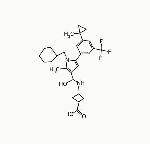 Cc1c(C(O)N[C@H]2C[C@H](C(=O)O)C2)cc(-c2cc(C(F)(F)F)cc(C3(C)CC3)c2)n1CC1CCCCC1